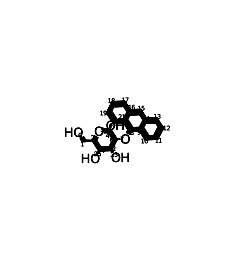 OC[C@H]1O[C@@H](O)[C@H](Oc2c3ccccc3cc3ccccc23)[C@@H](O)[C@H]1O